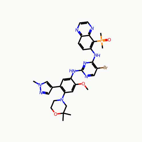 COc1cc(N2CCOC(C)(C)C2)c(-c2cnn(C)c2)cc1Nc1ncc(Br)c(Nc2ccc3nccnc3c2P(C)(C)=O)n1